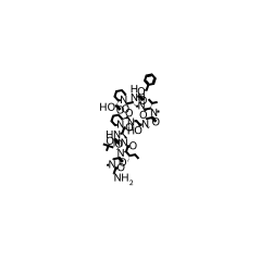 CC[C@H](C)[C@@H](C(=O)NC[C@@H](NC(=O)OC(C)(C)C)C(=O)N1CCCC[C@H]1C(=O)NCC(=O)N(C)CC(=O)N(C)[C@H](C(=O)NC[C@@H](NC(=O)OCc1ccccc1)C(=O)N1CCCC[C@H]1C(=O)O)C(C)C)N(C)C(=O)CN(C)C(=O)CN